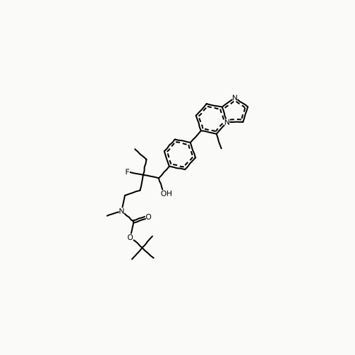 CCC(F)(CCN(C)C(=O)OC(C)(C)C)C(O)c1ccc(-c2ccc3nccn3c2C)cc1